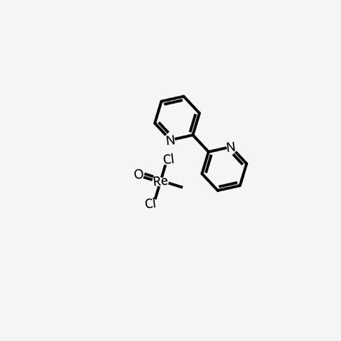 [CH3][Re](=[O])([Cl])[Cl].c1ccc(-c2ccccn2)nc1